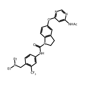 CCN(CC)Cc1ccc(NC(=O)N2CCc3cc(Oc4cc(NC(C)=O)ncn4)ccc32)cc1C(F)(F)F